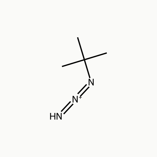 CC(C)(C)N=[N+]=N